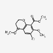 COC(=O)c1c(OC)c(Cl)cc2c1OCCN2OC